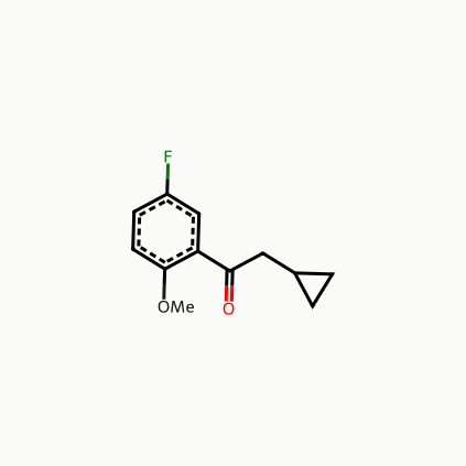 COc1ccc(F)cc1C(=O)CC1CC1